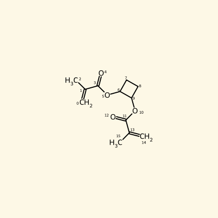 C=C(C)C(=O)OC1CCC1OC(=O)C(=C)C